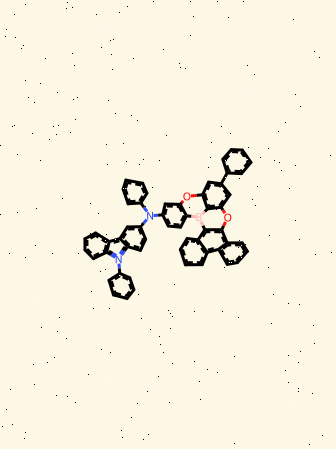 c1ccc(-c2cc3c4c(c2)Oc2c(c5ccccc5c5ccccc25)B4c2ccc(N(c4ccccc4)c4ccc5c(c4)c4ccccc4n5-c4ccccc4)cc2O3)cc1